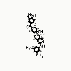 Cc1cc(C)cc(Nc2ncc3c(n2)CCN(C2(C)CCN(C(=O)c4ccc5[nH]nnc5c4)CC2)C3)c1